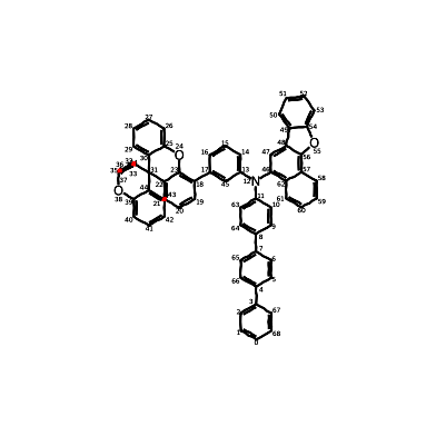 c1ccc(-c2ccc(-c3ccc(N(c4cccc(-c5cccc6c5Oc5ccccc5C65c6ccccc6Oc6ccccc65)c4)c4cc5c6ccccc6oc5c5ccccc45)cc3)cc2)cc1